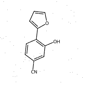 N#Cc1ccc(-c2ccco2)c(O)c1